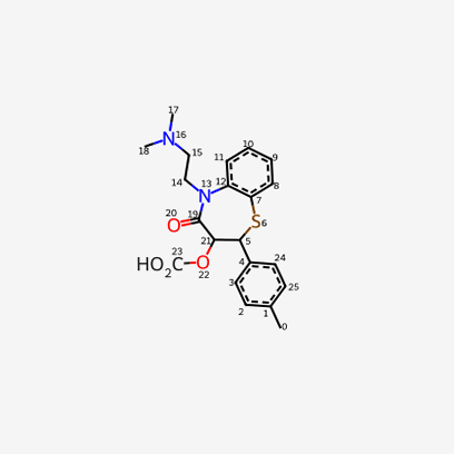 Cc1ccc(C2Sc3ccccc3N(CCN(C)C)C(=O)C2OC(=O)O)cc1